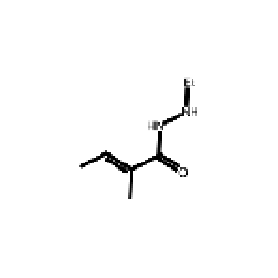 CC=C(C)C(=O)NNCC